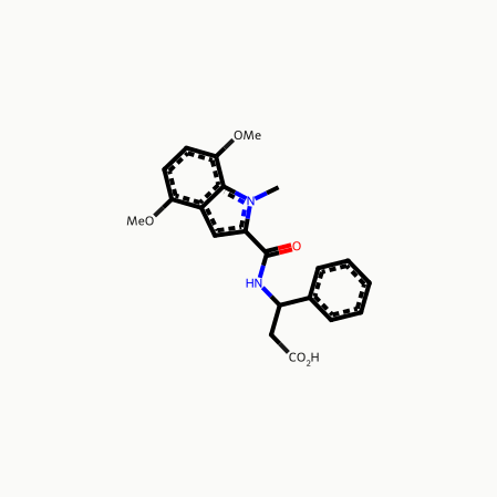 COc1ccc(OC)c2c1cc(C(=O)NC(CC(=O)O)c1ccccc1)n2C